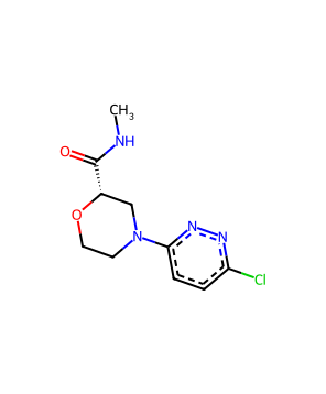 CNC(=O)[C@@H]1CN(c2ccc(Cl)nn2)CCO1